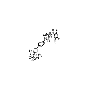 CC(C)(C(=O)O)C1CCC(c2ccc(NC(=O)c3nnc(Nc4cc(F)c(F)cc4F)o3)cc2)CC1